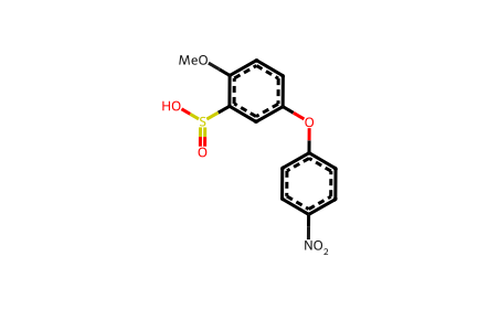 COc1ccc(Oc2ccc([N+](=O)[O-])cc2)cc1S(=O)O